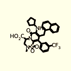 CN1CC(C(=O)O)n2c(c(-c3cccc(C(F)(F)F)c3)c(Cc3cccc4ccccc34)c(NC3CCCC3)c2=O)S1(=O)=O